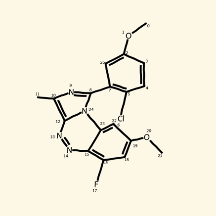 COc1ccc(Cl)c(-c2nc(C)c3nnc4c(F)cc(OC)cc4n23)c1